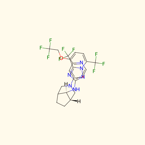 FC(F)(F)COc1ccc(C(F)(F)F)n2nc(N[C@@H]3C4CC[C@H]3CN(c3ccnc(C(F)(F)F)c3)C4)nc12